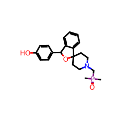 CP(C)(=O)CN1CCC2(CC1)OC(c1ccc(O)cc1)c1ccccc12